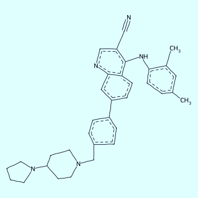 Cc1ccc(Nc2c(C#N)cnc3cc(-c4ccc(CN5CCC(N6CCCC6)CC5)cc4)ccc23)c(C)c1